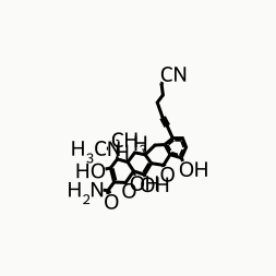 CN(C)[C@H]1C(O)=C(C(N)=O)C(=O)[C@@]2(O)C(O)=C3C(=O)c4c(O)ccc(C#CCCCC#N)c4C[C@@H]3C[C@@H]12